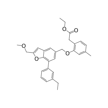 CCOC(=O)Cc1ccc(C)cc1OCc1cc(-c2cccc(CC)c2)c2oc(COC)cc2c1